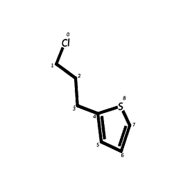 ClCC[CH]c1cccs1